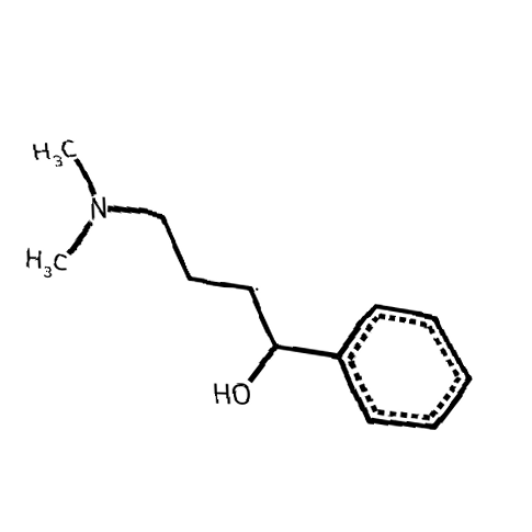 CN(C)CC[CH]C(O)c1ccccc1